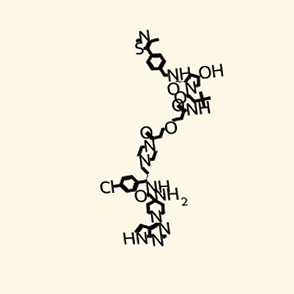 Cc1ncsc1-c1ccc(CNC(=O)[C@@H]2C[C@@H](O)CN2C(=O)[C@@H](NC(=O)CCOCCC(=O)N2CCN(CC[C@H](NC(=O)C3(N)CCN(c4ncnc5[nH]ccc45)CC3)c3ccc(Cl)cc3)CC2)C(C)(C)C)cc1